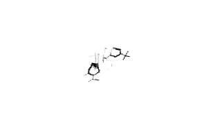 Cc1ccc(NC(=O)c2cc(C(C)(C)C)ccn2)cc1C(C)C